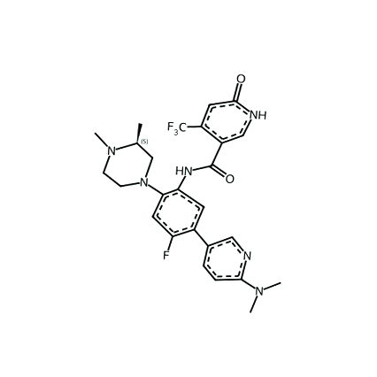 C[C@H]1CN(c2cc(F)c(-c3ccc(N(C)C)nc3)cc2NC(=O)c2c[nH]c(=O)cc2C(F)(F)F)CCN1C